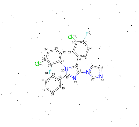 Fc1ccc(-c2c(-n3ccnc3)nc(-c3ccccc3)n2-c2cccc(Cl)c2F)cc1Cl